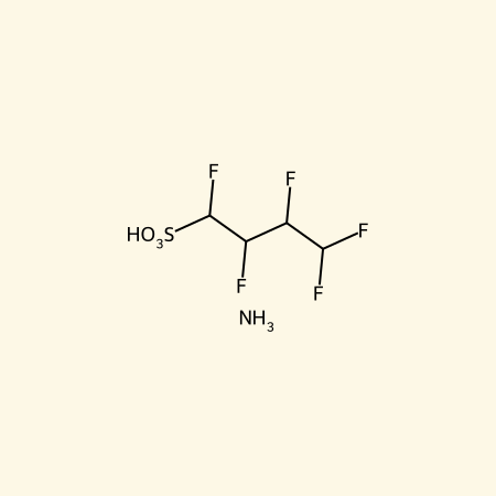 N.O=S(=O)(O)C(F)C(F)C(F)C(F)F